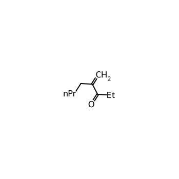 C=C(CCCC)C(=O)CC